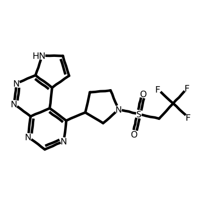 O=S(=O)(CC(F)(F)F)N1CCC(c2ncnc3nnc4[nH]ccc4c23)C1